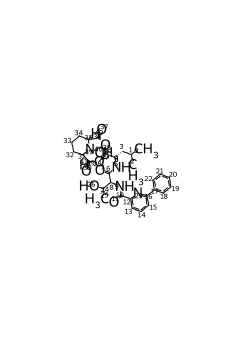 CC(C)C[C@H](NC(=O)[C@@H](NC(=O)c1cccc(-c2ccccc2)n1)[C@@H](C)O)B1OC(=O)[C@H]2CCC[C@H](C(=O)O1)N2C